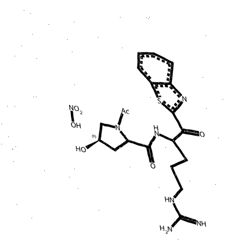 CC(=O)N1C[C@H](O)CC1C(=O)NC(CCCNC(=N)N)C(=O)c1nc2ccccc2s1.O=[N+]([O-])O